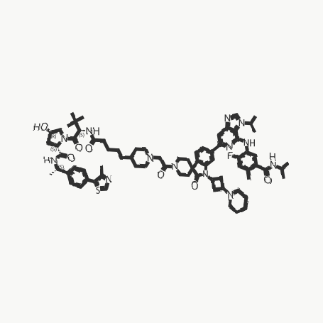 Cc1cc(F)c(Nc2nc(-c3ccc4c(c3)N(C3CC(N5CCCCC5)C3)C(=O)C43CCN(C(=O)CN4CCC(CCCCC(=O)N[C@H](C(=O)N5C[C@H](O)C[C@H]5C(=O)N[C@@H](C)c5ccc(-c6scnc6C)cc5)C(C)(C)C)CC4)CC3)cc3ncn(C(C)C)c23)cc1C(=O)NC(C)C